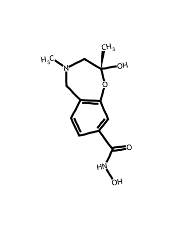 CN1Cc2ccc(C(=O)NO)cc2O[C@@](C)(O)C1